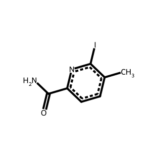 Cc1ccc(C(N)=O)nc1I